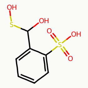 O=S(=O)(O)c1ccccc1C(O)SO